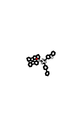 c1ccc(-c2ccc(-c3nc(-c4ccc5c(c4)oc4ccccc45)nc(-n4c5ccccc5c5c6c(ccc54)-c4ccccc4C64c5ccccc5-c5ccccc54)n3)cc2)cc1